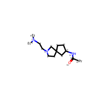 CCN(CC)CCN1CCC2(CCC(NC(=O)C(C)C)C2)C1